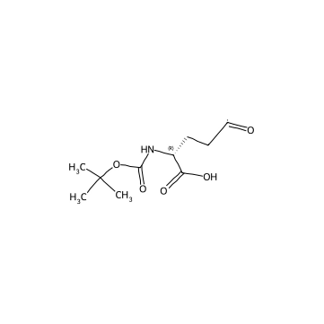 CC(C)(C)OC(=O)N[C@H](CC[C]=O)C(=O)O